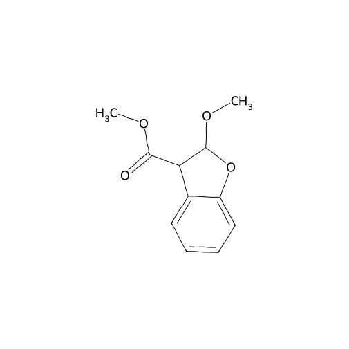 COC(=O)C1c2ccccc2OC1OC